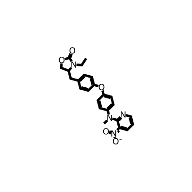 CCN1C(=O)OCC1Cc1ccc(Oc2ccc(N(C)c3ncccc3[N+](=O)[O-])cc2)cc1